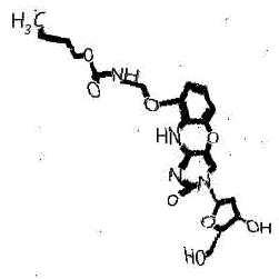 CCCCOC(=O)NCCOc1cccc2c1Nc1nc(=O)n([C@H]3C[C@@H](O)[C@@H](CO)O3)cc1O2